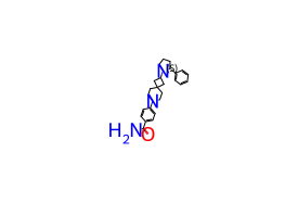 NC(=O)c1ccc(N2CCC3(CC2)CC(N2CCC[C@H]2c2ccccc2)C3)cc1